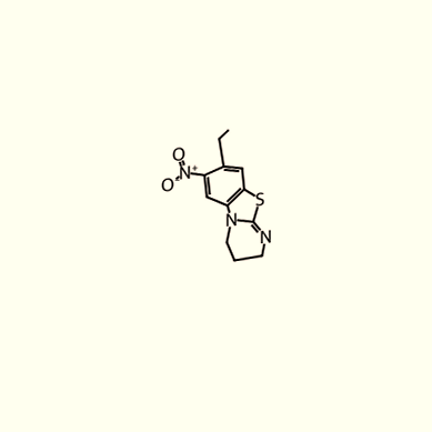 CCc1cc2c(cc1[N+](=O)[O-])N1CCCN=C1S2